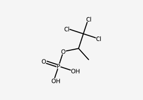 CC(OP(=O)(O)O)C(Cl)(Cl)Cl